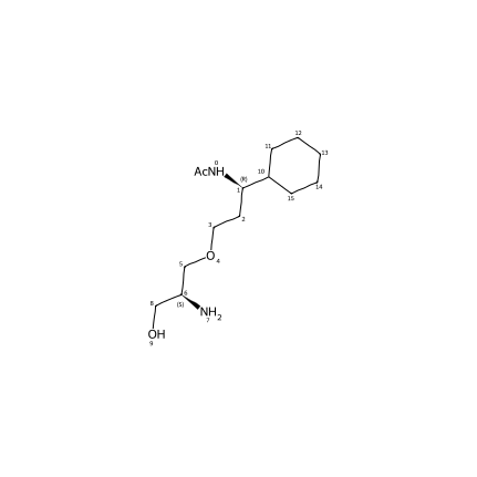 CC(=O)N[C@H](CCOC[C@@H](N)CO)C1CCCCC1